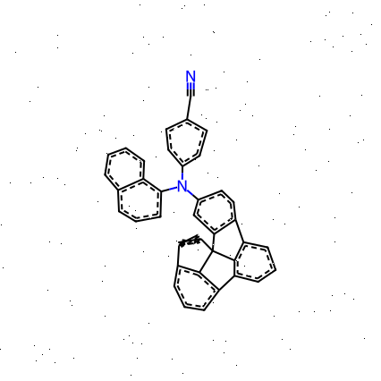 N#Cc1ccc(N(c2ccc3c(c2)C24c5ccccc5-c5cccc(c52)-c2cccc-3c24)c2cccc3ccccc23)cc1